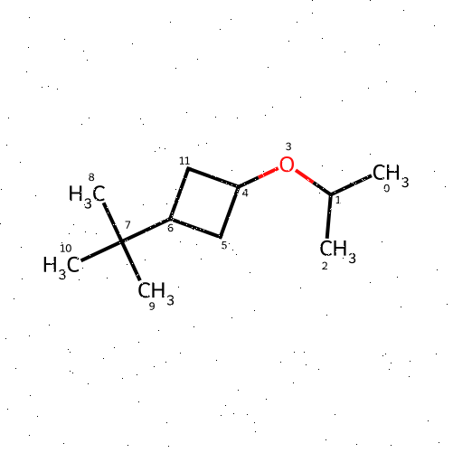 CC(C)OC1CC(C(C)(C)C)C1